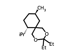 CCC1(CC)OCC2(CO1)C[C@H](C)CC[C@H]2C(C)C